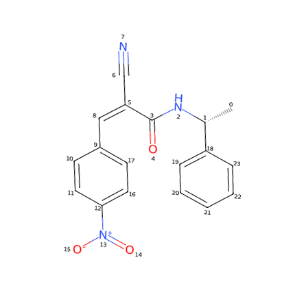 C[C@@H](NC(=O)C(C#N)=Cc1ccc([N+](=O)[O-])cc1)c1ccccc1